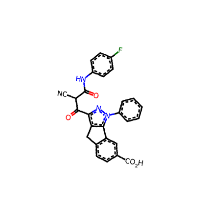 N#CC(C(=O)Nc1ccc(F)cc1)C(=O)c1nn(-c2ccccc2)c2c1Cc1ccc(C(=O)O)cc1-2